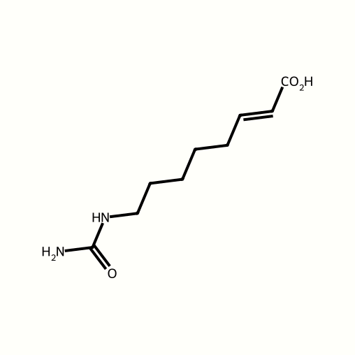 NC(=O)NCCCCCC=CC(=O)O